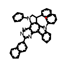 c1ccc(C2CN(c3ccccc3)c3c2c2c(c4ccccc4n2-c2ccccc2)c2nc(-c4ccc5ccccc5c4)nnc32)cc1